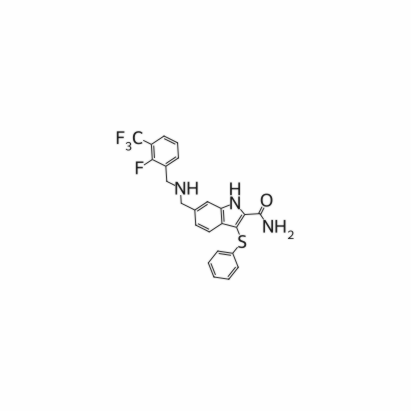 NC(=O)c1[nH]c2cc(CNCc3cccc(C(F)(F)F)c3F)ccc2c1Sc1ccccc1